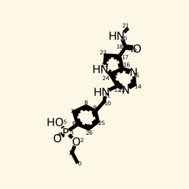 CCOP(=O)(O)c1ccc(CNc2ncnc3c(C(=O)NC)c[nH]c23)cc1